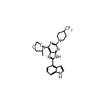 CC1COCCN1c1nc(N2CCC(C(F)(F)F)CC2)nc2[nH]c(-c3cccc4[nH]ccc34)nc12